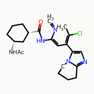 C=N/C(=C\C(=C(/C)Cl)c1cnc2n1CCCC2)NC(=O)[C@H]1CCC[C@@H](NC(C)=O)C1